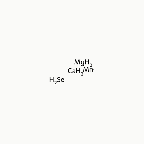 [CaH2].[MgH2].[Mn].[SeH2]